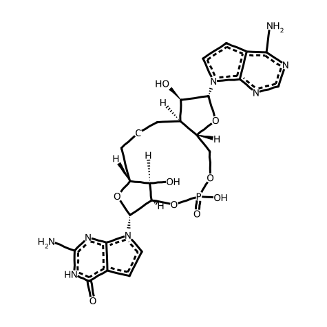 Nc1nc2c(ccn2[C@@H]2O[C@@H]3CCC[C@H]4[C@@H](O)[C@H](n5ccc6c(N)ncnc65)O[C@@H]4COP(=O)(O)O[C@@H]2[C@@H]3O)c(=O)[nH]1